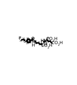 O=C(O)CCC[C@H](NC(=O)O[C@@H](CCCCNC(=O)c1ccc(SCCF)cc1)C(=O)O)C(=O)O